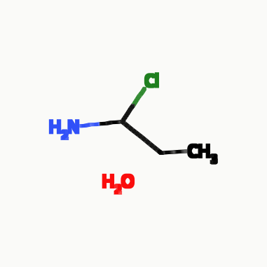 CCC(N)Cl.O